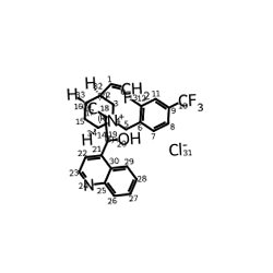 C=C[C@H]1C[N+]2(Cc3ccc(C(F)(F)F)cc3F)CC[C@H]1C[C@@H]2[C@@H](O)c1ccnc2ccccc12.[Cl-]